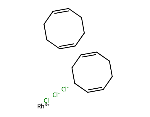 C1=C\CC/C=C\CC/1.C1=C\CC/C=C\CC/1.[Cl-].[Cl-].[Cl-].[Rh+3]